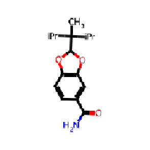 CC(C)C(C)(C(C)C)C1Oc2ccc(C(N)=O)cc2O1